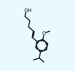 COc1ccc(C(C)C)cc1/C=C/CCCO